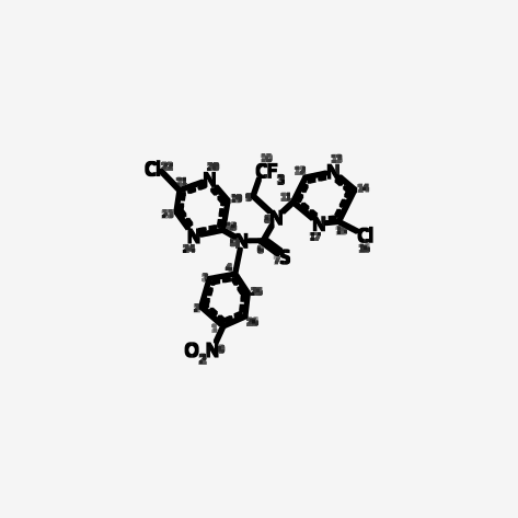 O=[N+]([O-])c1ccc(N(C(=S)N(CC(F)(F)F)c2cncc(Cl)n2)c2cnc(Cl)cn2)cc1